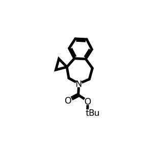 CC(C)(C)OC(=O)N1CCc2ccccc2C2(CC2)C1